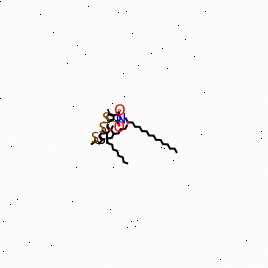 CCCCCCCCCCCCCCCCN1C(=O)c2c(C)sc(-c3cc4c(s3)-c3sc(C)cc3[Si]4(CCCCCCCC)CC(CC)CCCC)c2C1=O